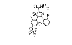 Cc1cc(OC(F)(F)F)ccc1-c1[se]c(C(N)=O)nc1-c1c(F)cccc1F